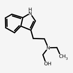 CCN(CO)CCc1c[nH]c2ccccc12